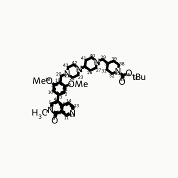 COc1cc(-c2cn(C)c(=O)c3cnccc23)cc(OC)c1CN1CCN(C2CCN(CC3CCN(C(=O)OC(C)(C)C)CC3)CC2)CC1